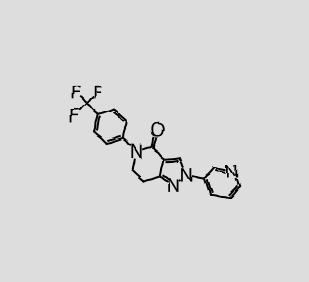 O=C1c2cn(-c3cccnc3)nc2CCN1c1ccc(C(F)(F)F)cc1